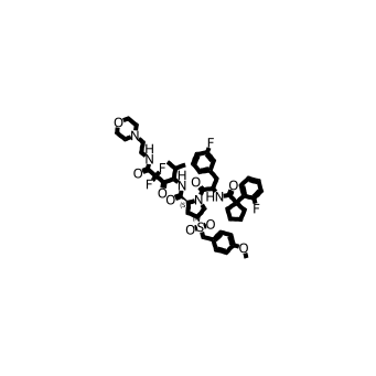 COc1ccc(CS(=O)(=O)[C@@H]2C[C@@H](C(=O)NC(C(=O)C(F)(F)C(=O)NCCN3CCOCC3)C(C)C)N(C(=O)C(Cc3cccc(F)c3)NC(=O)C3(c4ccccc4F)CCCC3)C2)cc1